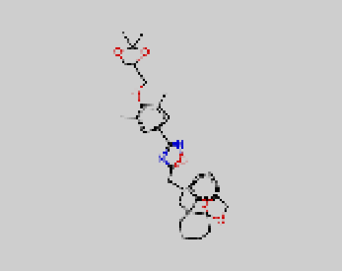 Cc1cc(-c2noc(CCCC3(c4ccccc4)CCCCC34OCCO4)n2)cc(C)c1OCC1COC(C)(C)O1